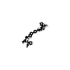 COC(=O)N[C@H](C(=O)N1CC2(CC2)C[C@H]1c1ncc(-c2ccc3cc(-c4ccc(-c5cnc([C@H](C)N(C(=O)[C@@H](NC(=O)OC)C6CCOCC6)C(C)C)[nH]5)cc4)ccc3c2)[nH]1)C1CCOCC1